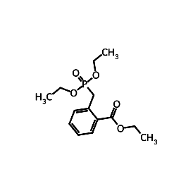 CCOC(=O)c1ccccc1CP(=O)(OCC)OCC